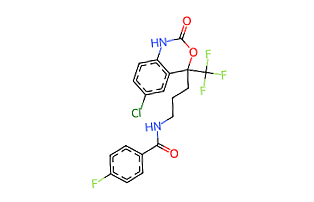 O=C1Nc2ccc(Cl)cc2C(CCCNC(=O)c2ccc(F)cc2)(C(F)(F)F)O1